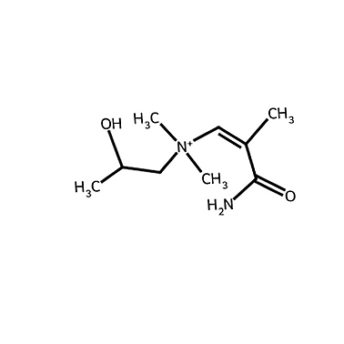 CC(=C[N+](C)(C)CC(C)O)C(N)=O